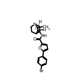 C[C@H]1[C@H](NC(=O)c2ccc(-c3ccc(Br)cc3)o2)C2CCN1CC2